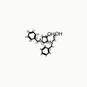 OCCN(Cc1ccccc1)[C@@H]1CN(Cc2ccccc2)C[C@H]1O